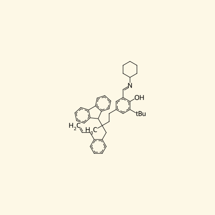 C=CCc1ccccc1CC(C)(CCc1cc(/C=N/C2CCCCC2)c(O)c(C(C)(C)C)c1)C1c2ccccc2-c2ccccc21